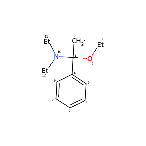 [CH2]C(OCC)(c1ccccc1)N(CC)CC